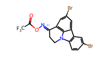 O=C(O/N=C1\CCn2c3ccc(Br)cc3c3cc(Br)cc1c32)C(F)(F)F